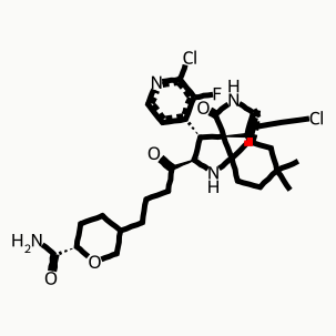 CC1(C)CCC2(CC1)N[C@@H](C(=O)CCCC1CC[C@@H](C(N)=O)OC1)[C@H](c1ccnc(Cl)c1F)[C@]21C(=O)Nc2cc(Cl)ccc21